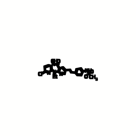 CCN1c2ncc(CCc3ccc(NS(C)(=O)=O)cc3)cc2C(=O)N(C)c2ccc(Cl)nc21